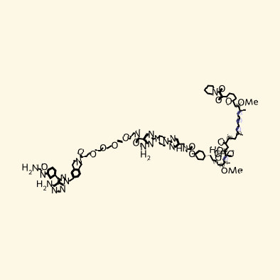 CO[C@@H](CC1CCCC(C(=O)C(=O)N2CCCCC2)O1)/C(C)=C/C=C/C=C/[C@@H](C)C[C@@H](C)C(=O)C[C@H](O)/C(C)=C/[C@@H](C)[C@@H](C[C@@H](CC[C@H]1CC[C@H](OC(=O)NCc2cnc(N3CCN(c4ncc(C(=O)N(C)CCOCCOCCOCCOCCC(=O)N5CCc6cc(Cn7nc(-c8ccc9oc(N)nc9c8)c8c(N)ncnc87)ccc6C5)c(N)n4)CC3)nc2)CC1)OC=O)OC